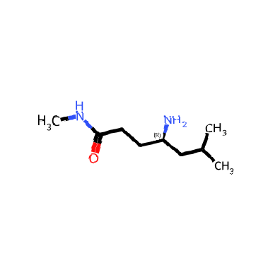 CNC(=O)CC[C@@H](N)CC(C)C